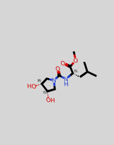 COC(=O)[C@H](CC(C)C)NC(=O)N1C[C@@H](O)[C@@H](O)C1